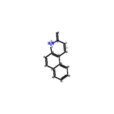 C=C(N)/C=C\c1c(C)ccc2ccccc12